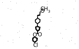 COCC=CC1CCC(c2ccc(C(=O)Oc3ccc(Cl)cc3)cc2)CC1